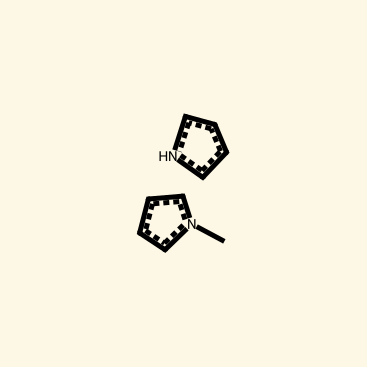 Cn1cccc1.c1cc[nH]c1